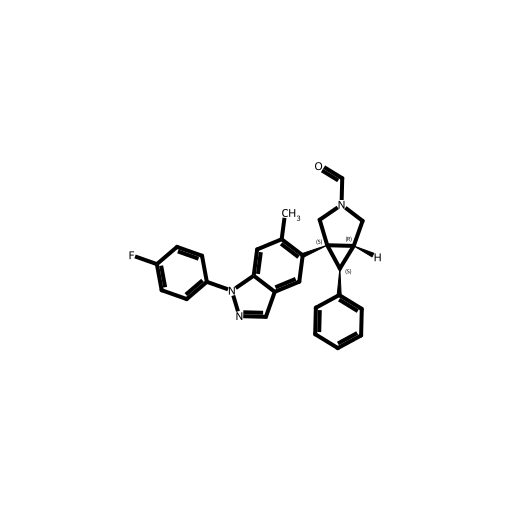 Cc1cc2c(cnn2-c2ccc(F)cc2)cc1[C@@]12CN(C=O)C[C@@H]1[C@H]2c1ccccc1